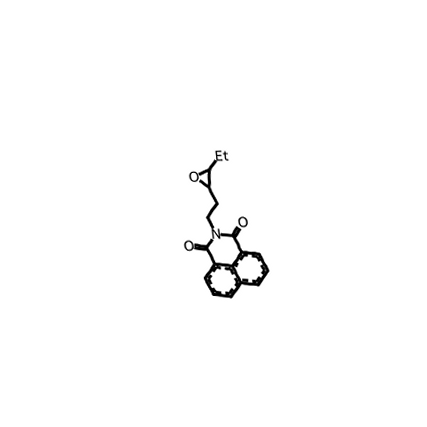 CCC1OC1CCN1C(=O)c2cccc3cccc(c23)C1=O